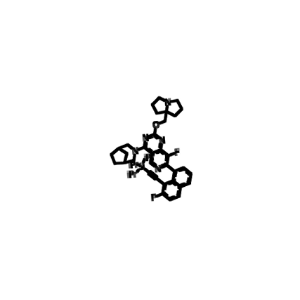 CC(C)[Si](C#Cc1c(F)ccc2cccc(-c3ncc4c(N5CC6CCC(C6)C5)nc(OCC56CCCN5CCC6)nc4c3F)c12)(C(C)C)C(C)C